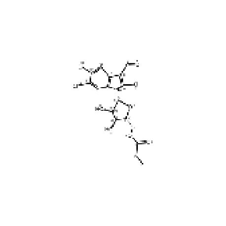 CCC(=O)OC[C@H]1O[C@@H](n2c(Cl)c(C=O)c3cc(Cl)c(Cl)cc32)[C@H](O)[C@@H]1O